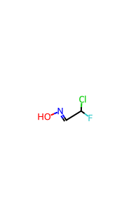 ON=CC(F)Cl